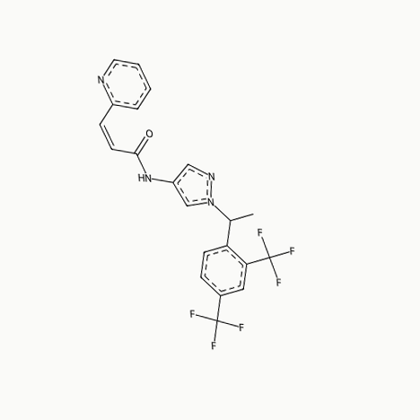 CC(c1ccc(C(F)(F)F)cc1C(F)(F)F)n1cc(NC(=O)/C=C\c2ccccn2)cn1